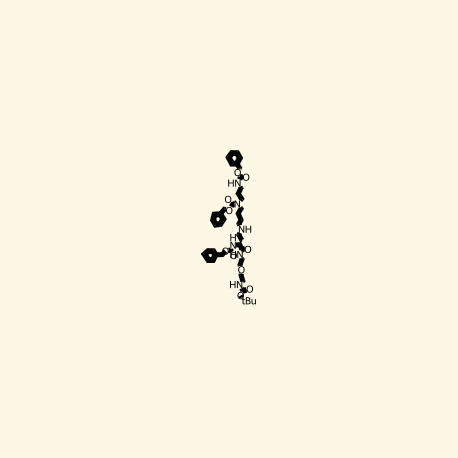 CC(C)(C)OC(=O)NCCOCCNC(=O)[C@H](CCNCCCCN(CCCNC(=O)OCc1ccccc1)C(=O)OCc1ccccc1)NC(=O)OCc1ccccc1